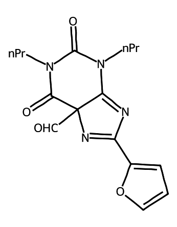 CCCN1C(=O)N(CCC)C2=NC(c3ccco3)=NC2(C=O)C1=O